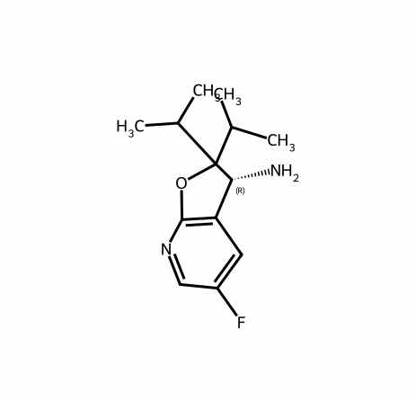 CC(C)C1(C(C)C)Oc2ncc(F)cc2[C@H]1N